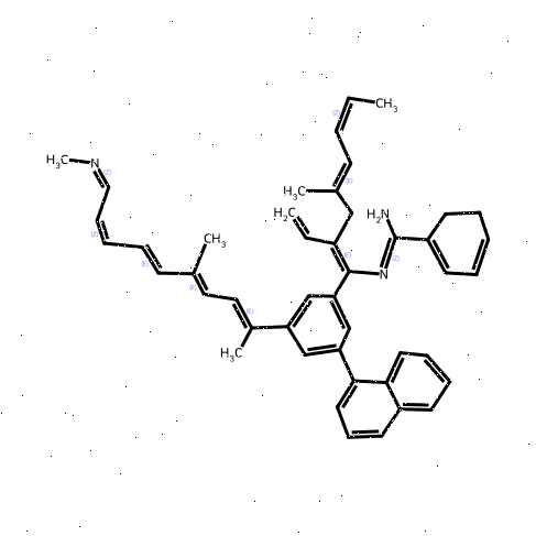 C=C/C(C/C(C)=C/C=C\C)=C(/N=C(\N)C1=CC=CCC1)c1cc(/C(C)=C/C=C(C)/C=C/C=C\C=N/C)cc(-c2cccc3ccccc23)c1